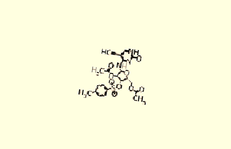 C#Cc1c[nH]c(=O)nc1N[C@@H]1O[C@H](COC(C)=O)[C@H](OS(=O)(=O)c2ccc(C)cc2)[C@H]1OC(C)=O